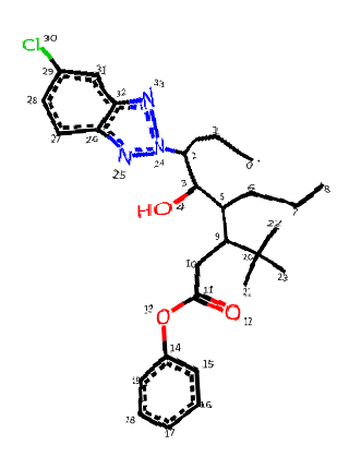 [CH2]CC(C(O)C(CCC)C(CC(=O)Oc1ccccc1)C(C)(C)C)n1nc2ccc(Cl)cc2n1